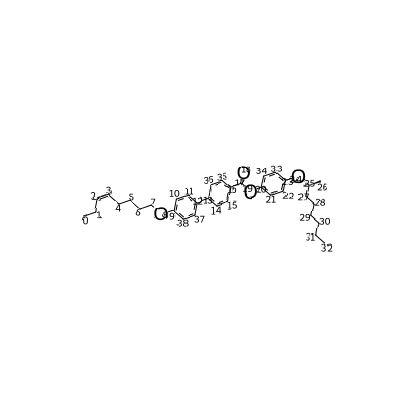 CC/C=C\CCCCOc1ccc(-c2ccc(C(=O)Oc3ccc(O[C@@H](C)CCCCCC)cc3)cc2)cc1